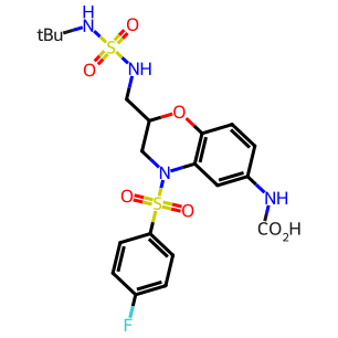 CC(C)(C)NS(=O)(=O)NCC1CN(S(=O)(=O)c2ccc(F)cc2)c2cc(NC(=O)O)ccc2O1